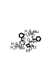 CCOC1(OCC)C[C@H](C(=O)N[C@@H](CO[Si](C)(C)C(C)(C)C)c2ccccc2)[C@H]1C(=O)N[C@@H](CO[Si](C)(C)C(C)(C)C)c1ccccc1